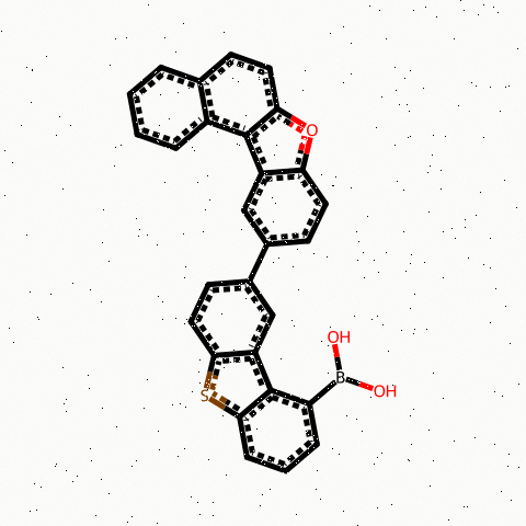 OB(O)c1cccc2sc3ccc(-c4ccc5oc6ccc7ccccc7c6c5c4)cc3c12